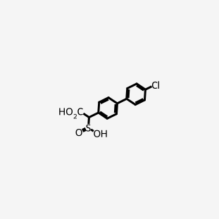 O=C(O)C(c1ccc(-c2ccc(Cl)cc2)cc1)S(=O)O